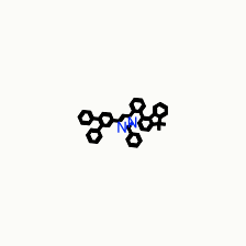 CC1(C)c2ccccc2-c2c(-c3ccccc3-c3cc(-c4ccc(-c5ccccc5)c(-c5ccccc5)c4)nc(-c4ccccc4)n3)cccc21